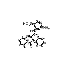 Cc1cccc2nc(C(C)Nc3nc(N)ncc3C(=O)O)n(-c3ccccc3)c(=O)c12